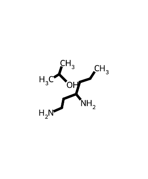 CC(C)O.CCCC(N)CCN